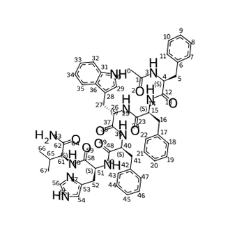 CC(=O)N[C@@H](Cc1ccccc1)C(=O)N[C@@H](Cc1ccccc1)C(=O)N[C@@H](Cc1c[nH]c2ccccc12)C(=O)N[C@@H](Cc1ccccc1)C(=O)N[C@@H](Cc1c[nH]cn1)C(=O)N[C@H](C(N)=O)C(C)C